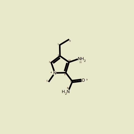 CCc1cn(C)c(C(N)=O)c1N